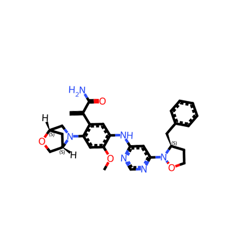 C=C(C(N)=O)c1cc(Nc2cc(N3OCC[C@@H]3Cc3ccccc3)ncn2)c(OC)cc1N1C[C@@H]2C[C@H]1CO2